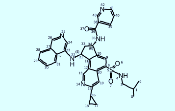 CC(C)CNS(=O)(=O)c1cc2c(c3cnc(C4CC4)cc13)[C@@H](Nc1cncc3ccccc13)C[C@H]2NC(=O)c1cccnc1